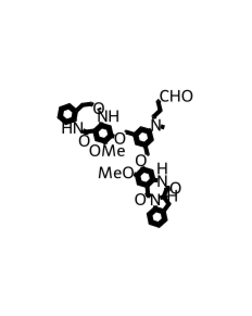 COc1cc2c(cc1OCc1cc(COc3cc4c(cc3OC)C(=O)N3c5ccccc5C[C@H]3C(=O)N4)cc(N(C)CCCC=O)c1)NOCCc1ccccc1NC2=O